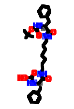 CC(C)(C)OC(=O)N[C@@H](Cc1ccccc1)C(=O)NCCCCCCCNC(=O)[C@H](Cc1ccccc1)NC(=O)O